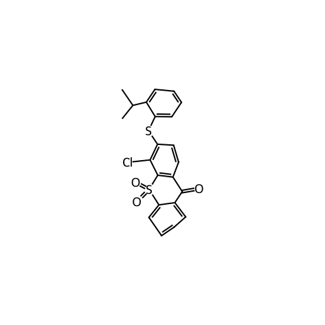 CC(C)c1ccccc1Sc1ccc2c(c1Cl)S(=O)(=O)c1ccccc1C2=O